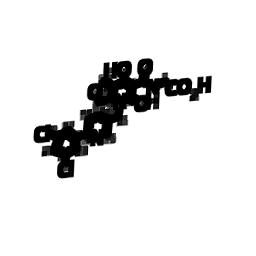 O=C(O)CNC(=O)c1c(O)c2c(n(Cc3ccc(-c4cc(Cl)cc(Cl)c4)nc3)c1=O)COC2